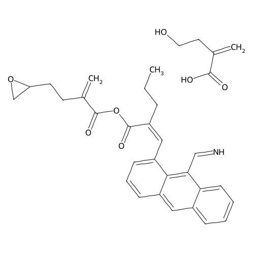 C=C(CCC1CO1)C(=O)OC(=O)C(=Cc1cccc2cc3ccccc3c(C=N)c12)CCC.C=C(CCO)C(=O)O